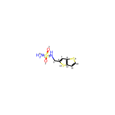 NS(=O)(=O)NCc1cc2sccc2s1